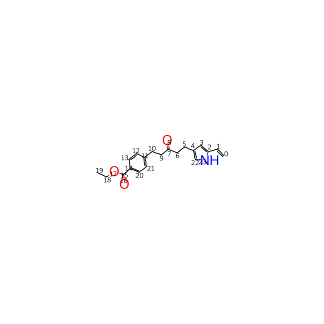 C=Cc1cc(CCC(=O)CCc2ccc(C(=O)OCC)cc2)c[nH]1